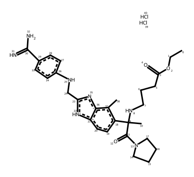 CCOC(=O)CCCNC(C)(C(=O)N1CCCC1)c1ccc2[nH]c(CNc3ccc(C(=N)N)cc3)nc2c1C.Cl.Cl